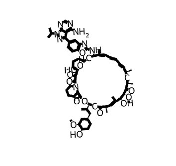 CO[C@@H]1C[C@@H](CC(C)[C@@H]2CC(=O)[C@H](C)/C=C(\C)[C@@H](O)[C@@H](OC)C(=O)[C@H](C)C[C@H](C)/C=C/C=C/C=C(/C)[C@@H](Nc3nc4cc(-c5nn(C(C)C)c6ncnc(N)c56)ccc4o3)C[C@@H]3CC[C@@H](C)[C@@](O)(O3)C(=O)C(=O)N3CCCC[C@H]3C(=O)O2)CC[C@H]1O